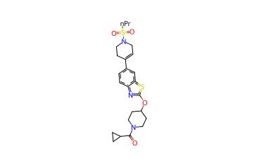 CCCS(=O)(=O)N1CC=C(c2ccc3nc(OC4CCN(C(=O)C5CC5)CC4)sc3c2)CC1